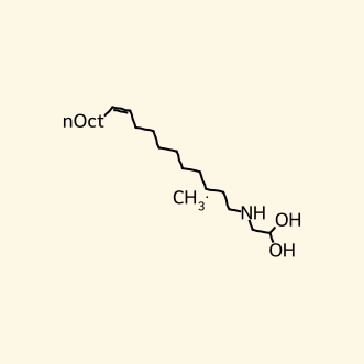 CCCCCCCC/C=C\CCCCCCCCCNCC(O)O.[CH3]